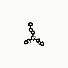 c1ccc(-c2ccc3cc(-c4cc(-c5cc6ccccc6o5)nc(-c5ccc6c(c5)sc5ccccc56)n4)ccc3c2)cc1